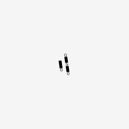 C=O.O=[Si]=O